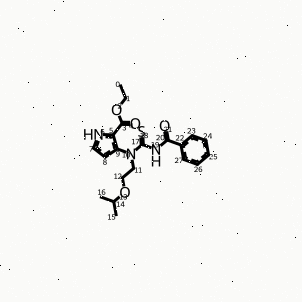 CCOC(=O)c1[nH]ccc1N(CCOC(C)C)C(=S)NC(=O)c1ccccc1